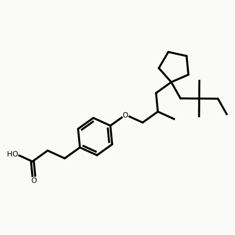 CCC(C)(C)CC1(CC(C)COc2ccc(CCC(=O)O)cc2)CCCC1